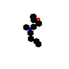 c1ccc(N(c2ccc(-c3cccc(-c4ccc5ccccc5c4)c3)cc2)c2ccc(-c3cccc4oc5c6ccccc6ccc5c34)cc2)cc1